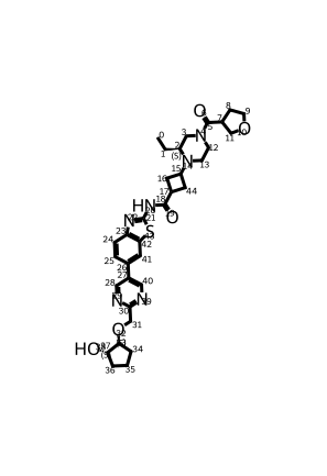 CC[C@H]1CN(C(=O)C2CCOC2)CCN1C1CC(C(=O)Nc2nc3ccc(-c4cnc(CO[C@H]5CCC[C@@H]5O)nc4)cc3s2)C1